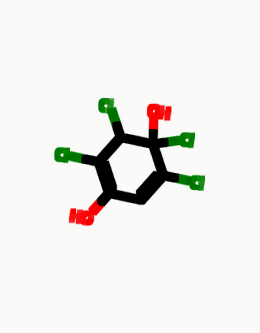 OC1=C(Cl)C(Cl)C(O)(Cl)C(Cl)=C1